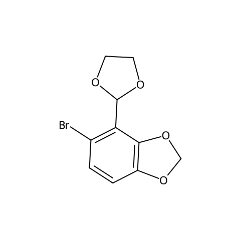 Brc1ccc2c(c1C1OCCO1)OCO2